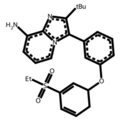 CCS(=O)(=O)C1=CC(Oc2cccc(-c3c(C(C)(C)C)nc4c(N)cccn34)c2)CC=C1